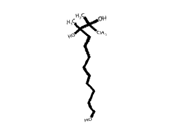 CC(C)(O)C(C)(O)CCCCCCCCCO